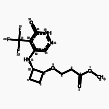 COC(=O)CCO[C@H]1CC[C@H]1Nc1cn[nH]c(=O)c1C(F)(F)F